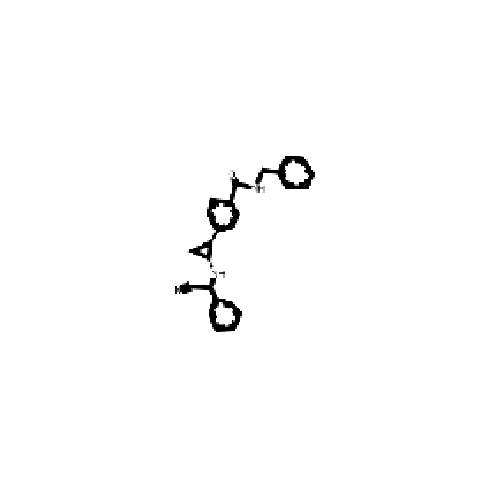 N#CC(N[C@@H]1C[C@H]1c1ccc(C(=O)NCc2ccccc2)cc1)c1ccccc1